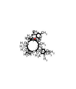 CC[C@H]1OC(=O)[C@H](C)[C@@H](O[C@H]2C[C@@](C)(OC)[C@@H](C)[C@H](C)O2)[C@H](C)[C@@H](OC2O[C@H](C)C[C@H](N(C)C)[C@H]2OCCCl)[C@](C)(O)C[C@@H](C)CN(C)[C@H](C)[C@@H](C)[C@]1(C)OC